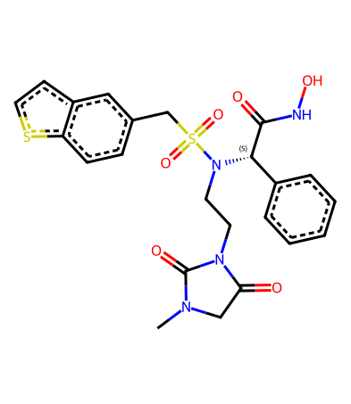 CN1CC(=O)N(CCN([C@H](C(=O)NO)c2ccccc2)S(=O)(=O)Cc2ccc3sccc3c2)C1=O